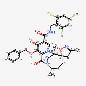 CCC1=NO[C@@]2(CC[C@H](C)N3C[C@H]2n2cc(C(=O)NCc4c(F)cc(F)cc4F)c(=O)c(OCc4ccccc4)c2C3=O)C1